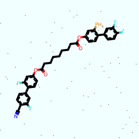 N#Cc1ccc(-c2ccc(OC(=O)CCCCCCCC(=O)Oc3ccc(-c4ccc(F)c(F)c4)c(P)c3)cc2F)cc1F